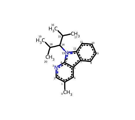 Cc1cnc2c(c1)c1ccccc1n2C(C(C)C)C(C)C